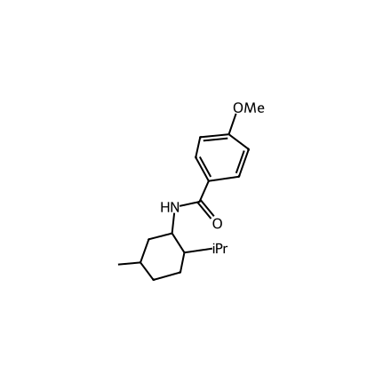 COc1ccc(C(=O)NC2CC(C)CCC2C(C)C)cc1